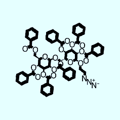 [N-]=[N+]=NCCO[C@H]1O[C@H](CO[C@@H]2O[C@H](COC(=O)c3ccccc3)[C@@H](OC(=O)c3ccccc3)[C@H](OC(=O)c3ccccc3)[C@@H]2OC(=O)c2ccccc2)[C@@H](OC(=O)c2ccccc2)[C@H](OC(=O)c2ccccc2)[C@@H]1OC(=O)c1ccccc1